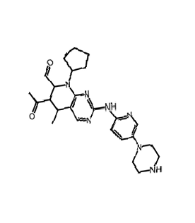 CC(=O)C1C(C)c2cnc(Nc3ccc(N4CCNCC4)cn3)nc2N(C2CCCC2)C1C=O